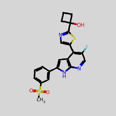 CS(=O)(=O)c1cccc(-c2cc3c(-c4cnc(C5(O)CCC5)s4)c(F)cnc3[nH]2)c1